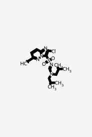 C#Cc1ccc2nc(Cl)c(S(=O)(=O)/N=C/N(CC(C)C)CC(C)C)n2n1